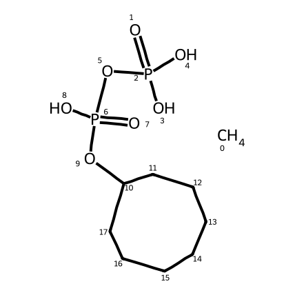 C.O=P(O)(O)OP(=O)(O)OC1CCCCCCC1